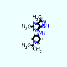 C=C(C)N1CCC(Nc2nc(C)nc3c(C)n[nH]c23)CC1